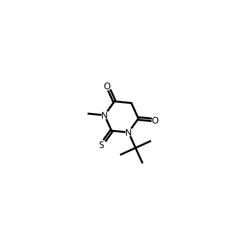 CN1C(=O)CC(=O)N(C(C)(C)C)C1=S